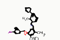 Cc1cc(C=O)c(OCc2ccc(I)cc2)cc1/C=C/c1cccc(-c2ccccc2)c1C